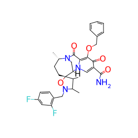 CC1C(C)[C@]2(CC[C@H](C)N3C[C@H]2n2cc(C(N)=O)c(=O)c(OCc4ccccc4)c2C3=O)ON1Cc1ccc(F)cc1F